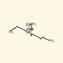 CCCCC/C=C/C=C\CCCCCCCC(=O)O[C@H](COC(=O)CCCCCCC/C=C\C/C=C/CCCCC)COP(=O)(O)OCC[N+](C)(C)C